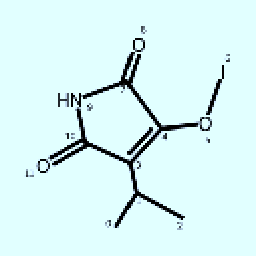 CC(C)C1=C(OI)C(=O)NC1=O